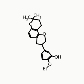 CCOc1ccc(C2COc3c(ccc4c3CCC(C)(C)O4)C2)cc1O